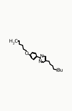 C=CCCCCOc1ccc(-c2ncc(CCCCC(C)CC)cn2)cc1